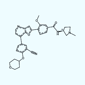 COc1cc(C(=O)N[C@H]2CCN(C)C2)ccc1-c1cc2nccc(-c3ccc(OC4CCOCC4)c(C#N)c3)c2o1